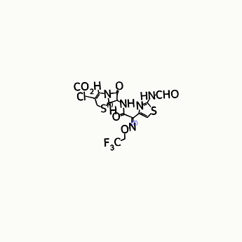 O=CNc1nc(/C(=N/OCC(F)(F)F)C(=O)NC2C(=O)N3C(C(=O)O)=C(Cl)CS[C@H]23)cs1